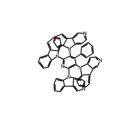 c1ccc(-c2c(-n3c4ccccc4c4cnccc43)c(-n3c4ccccc4c4ccccc43)nc(-n3c4ccccc4c4cnccc43)c2-n2c3ccccc3c3cnccc32)cc1